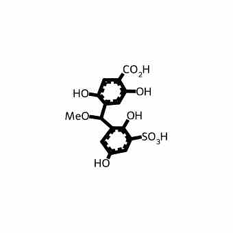 COC(c1cc(O)c(C(=O)O)cc1O)c1cc(O)cc(S(=O)(=O)O)c1O